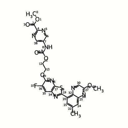 COC(=O)c1ncc(NC(=O)OCCOc2nc3sc(-c4cc(C)cc5nc(OC)cnc45)nc3cc2F)cn1